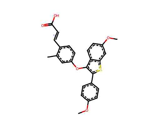 COc1ccc(-c2sc3cc(OC)ccc3c2Oc2ccc(/C=C/C(=O)O)c(C)c2)cc1